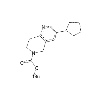 CC(C)(C)OC(=O)N1CCc2ncc(C3CCCC3)cc2C1